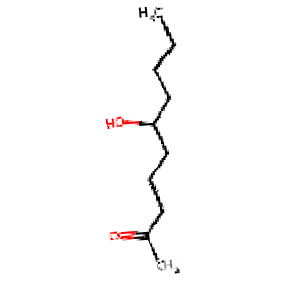 [CH2]C(=O)CCCC(O)CCCC